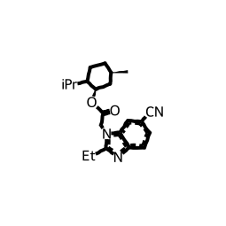 CCc1nc2ccc(C#N)cc2n1CC(=O)O[C@@H]1C[C@H](C)CCC1C(C)C